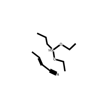 CC=CC#N.CCC[SiH](OCC)OCC